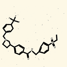 CCS(=O)(=O)c1ccc(CNC(=O)c2ccc(C3CCN(CC4=CCC(C(F)(F)F)C=C4)C3)cc2)cc1